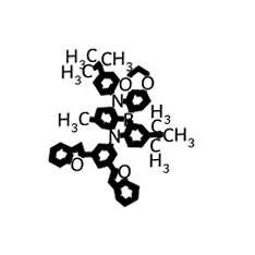 Cc1cc2c3c(c1)N(c1ccc(C(C)(C)C)cc1)c1c(ccc4c1OCCCO4)B3c1cc(C(C)(C)C)ccc1N2c1cc(-c2cc3ccccc3o2)cc(-c2cc3ccccc3o2)c1